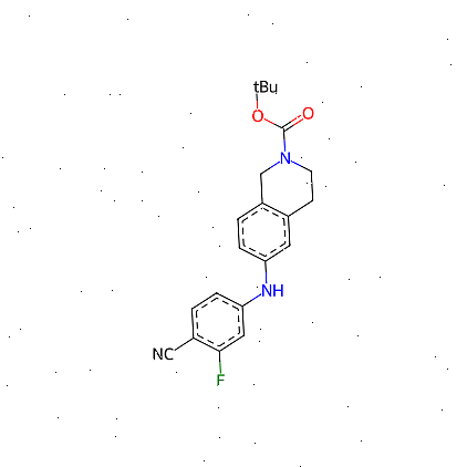 CC(C)(C)OC(=O)N1CCc2cc(Nc3ccc(C#N)c(F)c3)ccc2C1